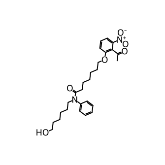 CC(=O)c1c(OCCCCCCC(=O)N(CCCCCCO)c2ccccc2)cccc1[N+](=O)[O-]